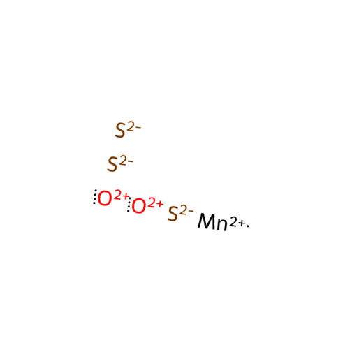 [Mn+2].[O+2].[O+2].[S-2].[S-2].[S-2]